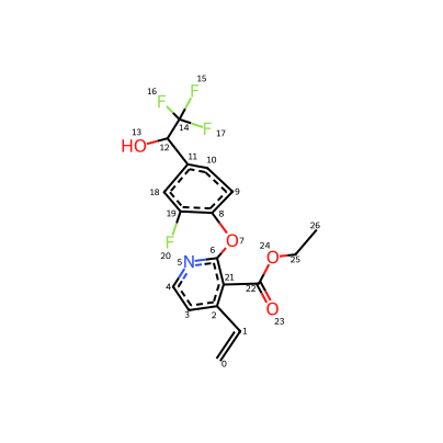 C=Cc1ccnc(Oc2ccc(C(O)C(F)(F)F)cc2F)c1C(=O)OCC